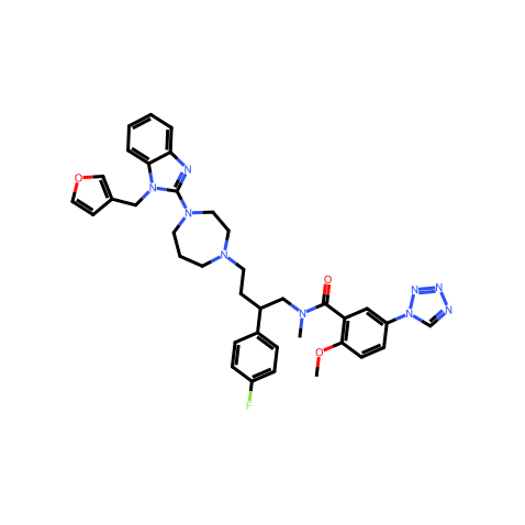 COc1ccc(-n2cnnn2)cc1C(=O)N(C)CC(CCN1CCCN(c2nc3ccccc3n2Cc2ccoc2)CC1)c1ccc(F)cc1